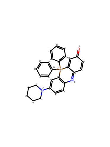 O=C1C=CC2=Nc3ccc(N4CCCCC4)cc3S(c3ccccc3)(c3ccccc3)C2=C1